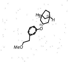 COCCc1cccc(O[C@@H]2C[C@@H]3CC[C@@H](C3)C2)c1